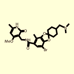 COc1cc(C)[nH]c(=O)c1CNC(=O)c1cc(Br)c2c(c1C)OC1(CCC(CN(C)C)CC1)O2